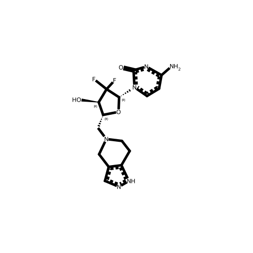 Nc1ccn([C@@H]2O[C@H](CN3CCc4[nH]ncc4C3)[C@@H](O)C2(F)F)c(=O)n1